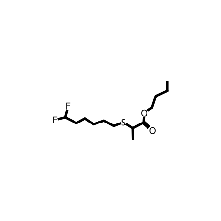 CCCCOC(=O)C(C)SCCCCCC(F)F